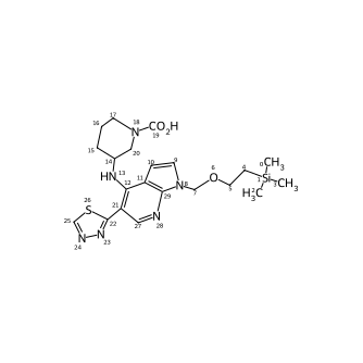 C[Si](C)(C)CCOCn1ccc2c(NC3CCCN(C(=O)O)C3)c(-c3nncs3)cnc21